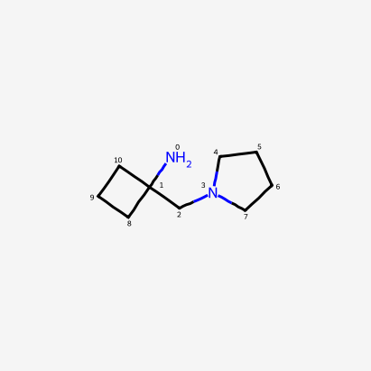 NC1(CN2CCCC2)CCC1